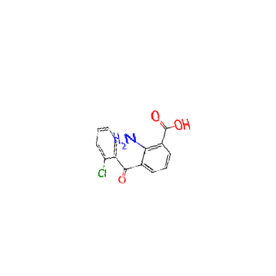 Nc1c(C(=O)O)cccc1C(=O)c1ccccc1Cl